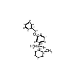 CN1CCCC[C@H]1[C@@](N)(I)c1cccc(OCc2ccccc2)c1